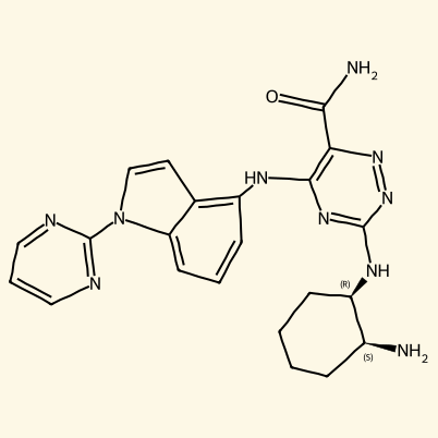 NC(=O)c1nnc(N[C@@H]2CCCC[C@@H]2N)nc1Nc1cccc2c1ccn2-c1ncccn1